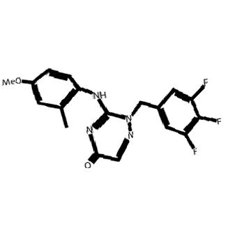 COc1ccc(Nc2nc(=O)cnn2Cc2cc(F)c(F)c(F)c2)c(C)c1